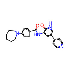 O=C(Nc1cc(-c2ccncc2)c[nH]c1=O)c1ccc(N2CCCCCC2)cc1